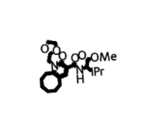 COC(=O)C(NC(=O)c1cc2c(n(CC3OCCO3)c1=O)CCCCCC2)C(C)C